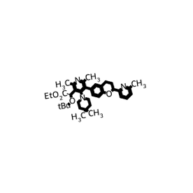 CCOC(=O)[C@@H](OC(C)(C)C)c1c(C)nc(C)c(-c2ccc3c(c2)CCC(c2cccc(C)n2)O3)c1N1CCC(C)(C)CC1